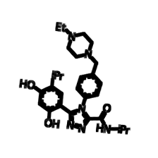 CCN1CCN(Cc2ccc(-n3c(C(=O)NC(C)C)nnc3-c3cc(C(C)C)c(O)cc3O)cc2)CC1